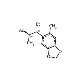 CC[C@H](c1cc2c(cc1C)OCO2)[C@@H](C)C(C)=O